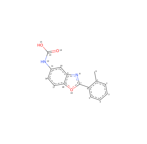 Cc1ccccc1-c1nc2cc(NC(=O)O)ccc2o1